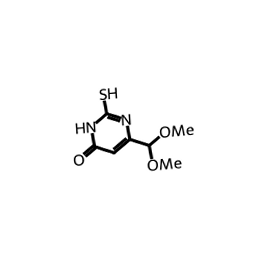 COC(OC)c1cc(=O)[nH]c(S)n1